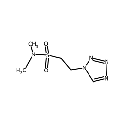 CN(C)S(=O)(=O)CCn1[c]nnn1